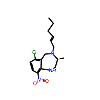 CCC/C=C/CN1Cc2c(Cl)ccc([N+](=O)[O-])c2NC[C@@H]1C